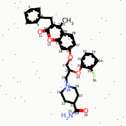 Cc1c(Cc2ccccc2)c(=O)oc2cc(OCC(CN3CCC(C(N)=O)CC3)Oc3ccccc3F)ccc12